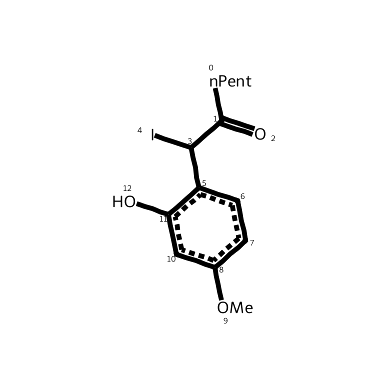 CCCCCC(=O)C(I)c1ccc(OC)cc1O